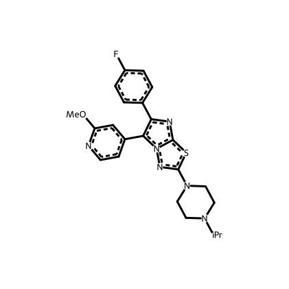 COc1cc(-c2c(-c3ccc(F)cc3)nc3sc(N4CCN(C(C)C)CC4)nn23)ccn1